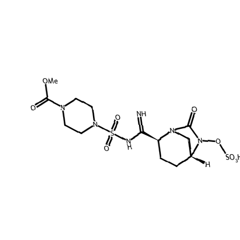 COC(=O)N1CCN(S(=O)(=O)NC(=N)[C@@H]2CC[C@@H]3CN2C(=O)N3OS(=O)(=O)O)CC1